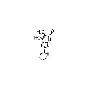 Cc1c(C2CC2)nc2cc(C3CCCCN3)nn2c1O